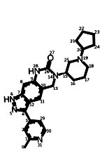 Cc1cc(-c2n[nH]c3cc4c(cc23)CN([C@@H]2CCCN(C3CCCC3)C2)C(=O)N4)ccn1